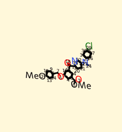 COC(=O)c1cc(OCc2ccc(OC)cc2)cc(C(=O)c2ccc(N(C)c3ccc(Cl)cc3)cn2)c1